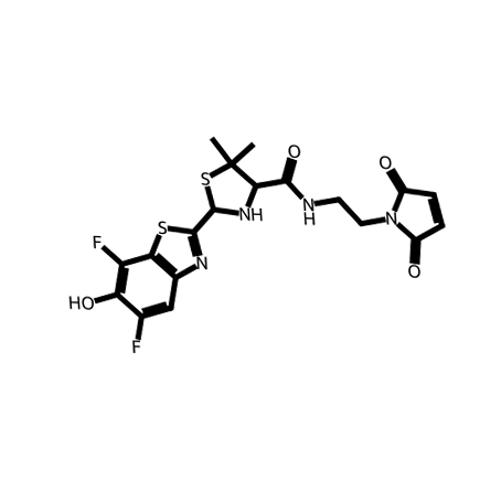 CC1(C)SC(c2nc3cc(F)c(O)c(F)c3s2)NC1C(=O)NCCN1C(=O)C=CC1=O